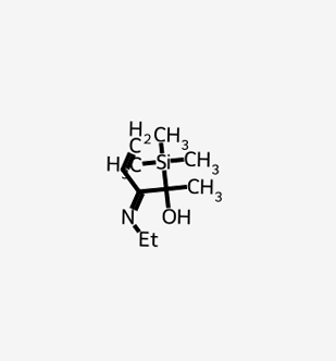 C=CC(=NCC)C(C)(O)[Si](C)(C)C